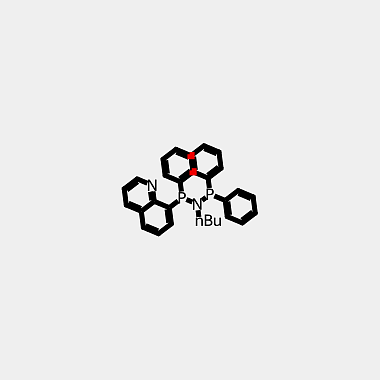 CCCCN(P(c1ccccc1)c1ccccc1)P(c1ccccc1)c1cccc2cccnc12